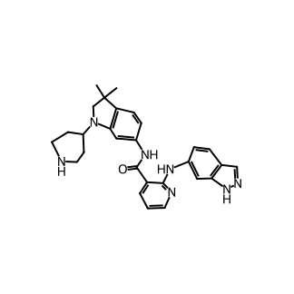 CC1(C)CN(C2CCNCC2)c2cc(NC(=O)c3cccnc3Nc3ccc4cn[nH]c4c3)ccc21